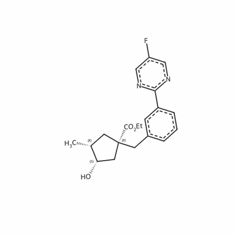 CCOC(=O)[C@@]1(Cc2cccc(-c3ncc(F)cn3)c2)C[C@@H](C)[C@@H](O)C1